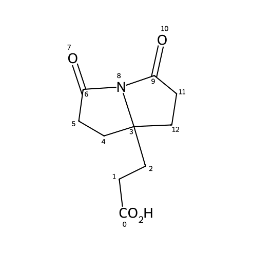 O=C(O)CCC12CCC(=O)N1C(=O)CC2